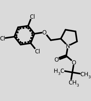 CC(C)(C)OC(=O)N1CCCC1COc1c(Cl)cc(Cl)cc1Cl